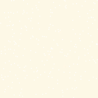 COc1ccc(CC(=O)O)c(C(=O)c2cccc(F)c2)c1